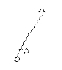 O=C(OCc1ccccc1)C(CCCCCCCCCCCCCCCCN1C(=O)CCC1=O)N1C(=O)CCC1=O